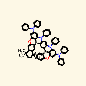 CC1(C)CCC(C)(C)c2cc3c(cc21)Oc1cc(N(c2ccccc2)c2ccccc2)cc2c1B3c1cc3c(cc1N2c1ccccc1)N(c1ccccc1)c1cc(N(c2ccccc2)c2ccccc2)cc2c1B3c1ccccc1O2